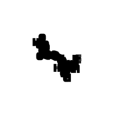 CCCC(C(=O)NC=O)N(C)C(=O)c1cc(N2CCC(CN3CCN(SNc4ccc(Cl)cc4C(=O)Nc4ccc(C(F)(F)F)cc4Cl)CC3)CC2)ccc1C=O